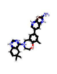 Cc1cc(-c2cnc3sc(N)nc3c2)cc2c1OCCN(c1ncnc3c1CC(C)(C)C=C3)C2